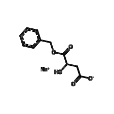 O=C([O-])CC(O)C(=O)OCc1ccccc1.[Na+]